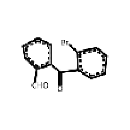 O=Cc1ccccc1C(=O)c1ccccc1Br